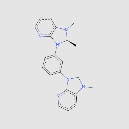 C[C@@H]1N(C)c2cccnc2N1c1cccc(N2CN(C)c3cccnc32)c1